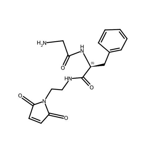 NCC(=O)N[C@@H](Cc1ccccc1)C(=O)NCCN1C(=O)C=CC1=O